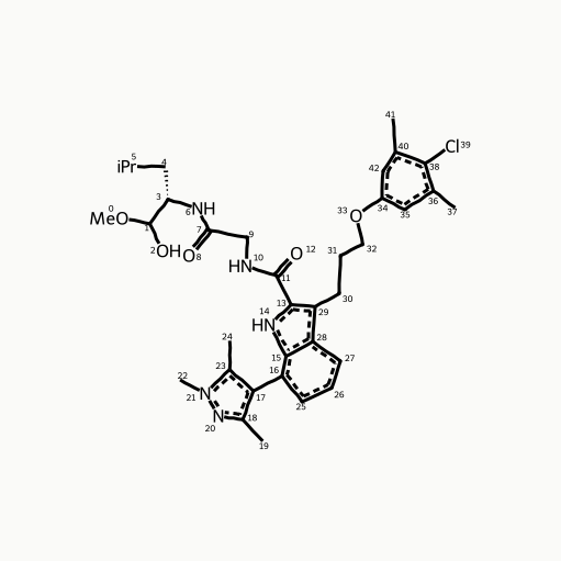 COC(O)[C@H](CC(C)C)NC(=O)CNC(=O)c1[nH]c2c(-c3c(C)nn(C)c3C)cccc2c1CCCOc1cc(C)c(Cl)c(C)c1